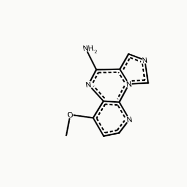 COc1ccnc2c1nc(N)c1cncn12